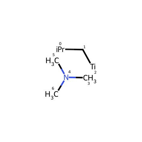 CC(C)[CH2][Ti].CN(C)C